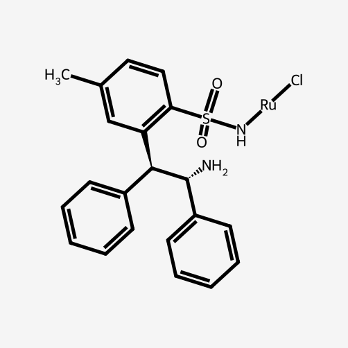 Cc1ccc(S(=O)(=O)[NH][Ru][Cl])c([C@H](c2ccccc2)[C@H](N)c2ccccc2)c1